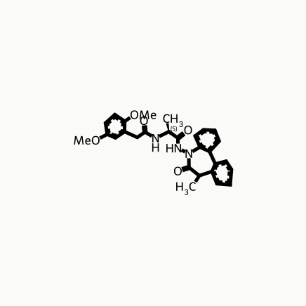 COc1ccc(OC)c(CC(=O)N[C@@H](C)C(=O)NN2C(=O)C(C)c3ccccc3-c3ccccc32)c1